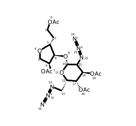 CC(=O)OCC[C@H]1OC[C@H](OC(C)=O)[C@@H]1O[C@H]1O[C@@H](CN=[N+]=[N-])[C@@H](OC(C)=O)[C@H](OC(C)=O)C1N=[N+]=[N-]